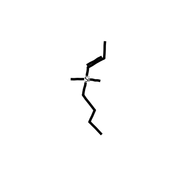 CC=C[Si](C)(C)CCCC